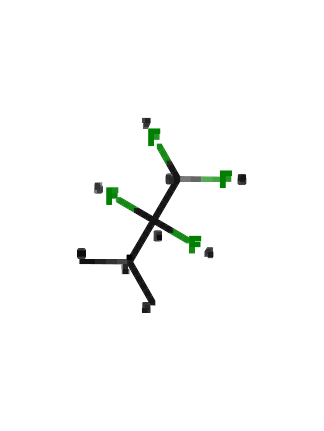 C[C](C)C(F)(F)C(F)F